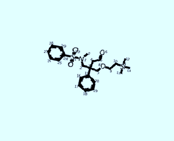 CN(CC(CC=O)(COCC[Si](C)(C)C)c1ccccc1)S(=O)(=O)c1ccccc1